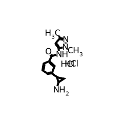 Cc1cc(NC(=O)c2cccc(C3CC3N)c2)n(C)n1.Cl.Cl